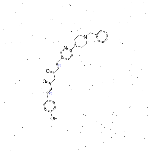 O=C(/C=C/c1ccc(O)cc1)CC(=O)/C=C/c1ccc(N2CCN(Cc3ccccc3)CC2)nc1